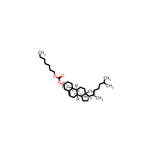 CCCCCCCOC(=O)O[C@H]1CC[C@@]2(C)C(=CC[C@H]3[C@@H]4CC[C@H]([C@H](C)CCCC(C)C)[C@@]4(C)CC[C@@H]32)C1